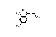 CC=C=C(N)c1ccc(C)cc1C